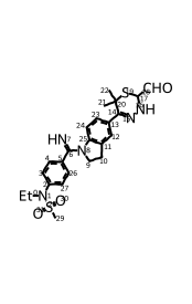 CCN(c1ccc(C(=N)N2CCc3cc(C4=NNC(C=O)SC4(C)C)ccc32)cc1)S(C)(=O)=O